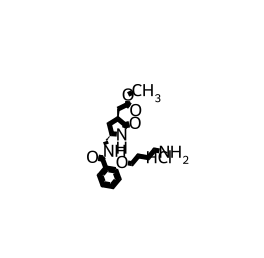 COC(=O)C[C@@H]1C[C@@H](CNC(=O)c2ccccc2OCCCCN)NC1=O.Cl